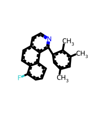 Cc1cc(C)c(C)c(-c2nccc3ccc4c(F)cccc4c23)c1